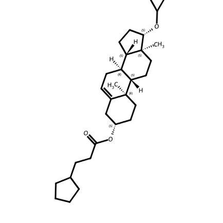 C[C@]12CC[C@H]3[C@@H](CC=C4C[C@@H](OC(=O)CCC5CCCC5)CC[C@@]43C)[C@@H]1CC[C@@H]2OC1CC1